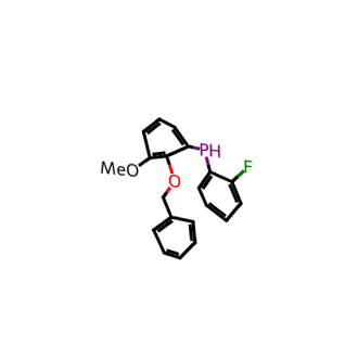 COc1cccc(Pc2ccccc2F)c1OCc1ccccc1